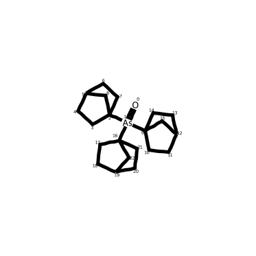 O=[As](C12CCC(CC1)C2)(C12CCC(CC1)C2)C12CCC(CC1)C2